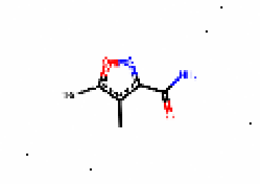 Cc1c(C(N)=O)noc1C(C)(C)C